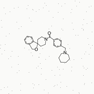 O=C(c1ccc(CN2CCCCCC2)cc1)N1CCC2(CC1)OCc1ccccc12